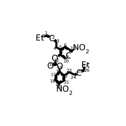 CCC=C=CCc1cc([N+](=O)[O-])ccc1OC(=O)Oc1ccc([N+](=O)[O-])cc1CC=C=CCC